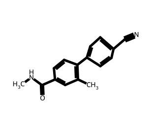 CNC(=O)c1ccc(-c2ccc(C#N)cc2)c(C)c1